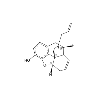 C=CCN1CC[C@]23c4c5ccc(O)c4O[C@H]2CC=CC3[C@H]1C5